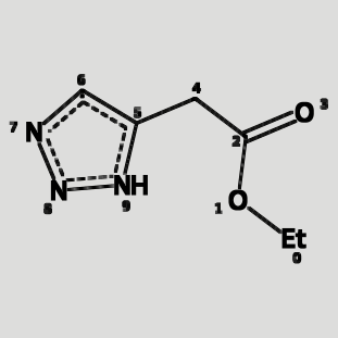 CCOC(=O)Cc1[c]nn[nH]1